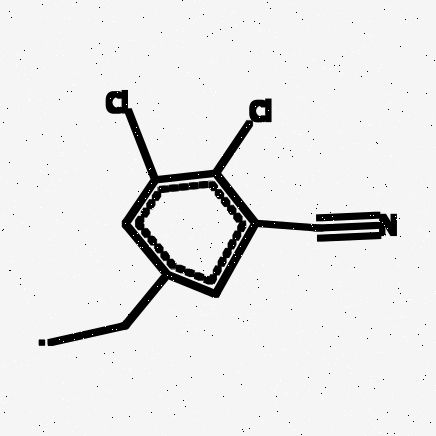 [CH2]Cc1cc(Cl)c(Cl)c(C#N)c1